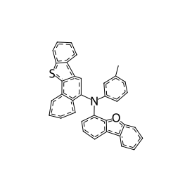 Cc1cccc(N(c2cc3c4ccccc4sc3c3ccccc23)c2cccc3c2oc2ccccc23)c1